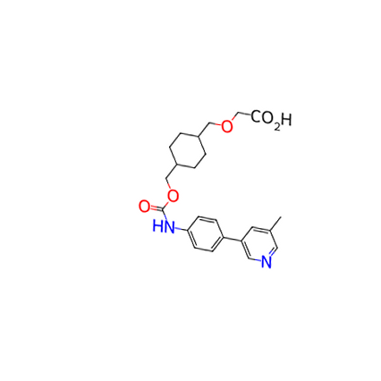 Cc1cncc(-c2ccc(NC(=O)OCC3CCC(COCC(=O)O)CC3)cc2)c1